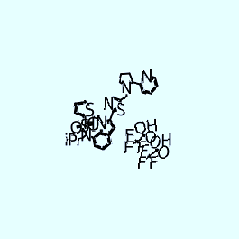 CC(C)N(c1cccc2cc(-c3ncc(CN4CCCC4c4ccccn4)s3)[nH]c12)S(=O)(=O)c1cccs1.O=C(O)C(F)(F)F.O=C(O)C(F)(F)F